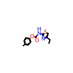 CCc1csc(NC(=O)Oc2ccc(C)cc2)n1